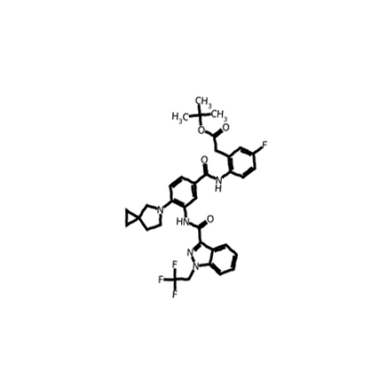 CC(C)(C)OC(=O)Cc1cc(F)ccc1NC(=O)c1ccc(N2CCC3(CC3)C2)c(NC(=O)c2nn(CC(F)(F)F)c3ccccc23)c1